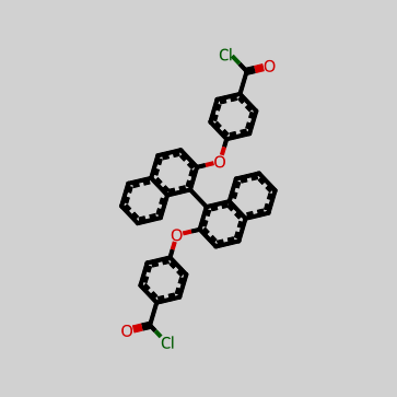 O=C(Cl)c1ccc(Oc2ccc3ccccc3c2-c2c(Oc3ccc(C(=O)Cl)cc3)ccc3ccccc23)cc1